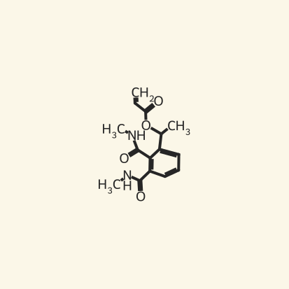 C=CC(=O)OC(C)c1cccc(C(=O)NC)c1C(=O)NC